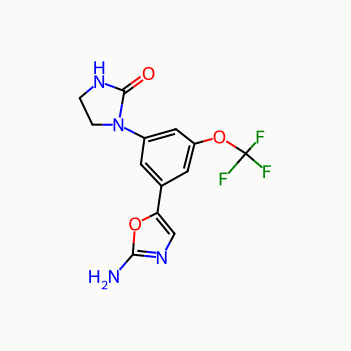 Nc1ncc(-c2cc(OC(F)(F)F)cc(N3CCNC3=O)c2)o1